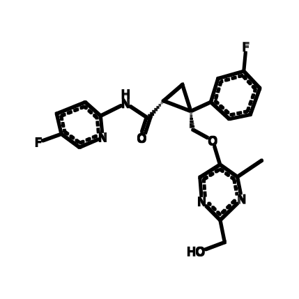 Cc1nc(CO)ncc1OC[C@@]1(c2cccc(F)c2)C[C@H]1C(=O)Nc1ccc(F)cn1